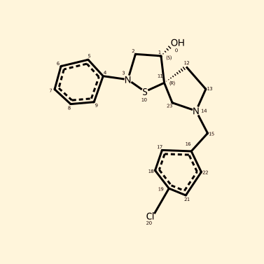 O[C@H]1CN(c2ccccc2)S[C@@]12CCN(Cc1ccc(Cl)cc1)C2